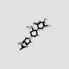 Cc1nc2c([nH]1)CN([C@H]1CC[C@H](C3CC(F)=C(F)C=C3F)C(N)C1)C2